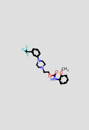 COc1ccccc1NC(=O)OCCN1CCN(c2cccc(C(F)(F)F)c2)CC1